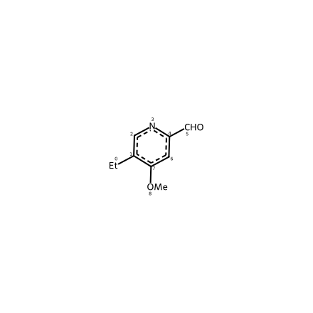 CCc1cnc(C=O)cc1OC